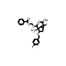 NC1(C(=O)OCOC(=O)c2ccccc2)C(OCc2ccc(F)cc2)CC2C1C2(F)C(=O)O